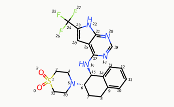 O=S1(=O)CCN([C@H]2CCc3ccccc3[C@@H]2Nc2ncnc3[nH]c(C(F)(F)F)cc23)CC1